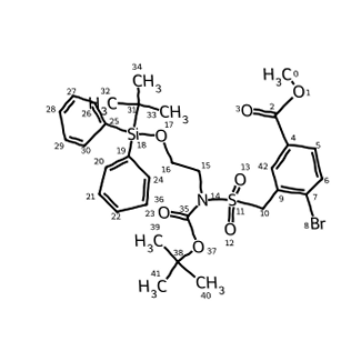 COC(=O)c1ccc(Br)c(CS(=O)(=O)N(CCO[Si](c2ccccc2)(c2ccccc2)C(C)(C)C)C(=O)OC(C)(C)C)c1